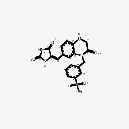 CC(C)S(=O)(=O)c1cccc(CN2C(=O)COc3ccc(C=C4SC(=O)NC4=O)cc32)c1